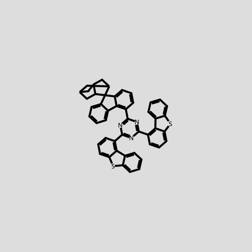 c1ccc2c(c1)-c1c(-c3nc(-c4cccc5sc6ccccc6c45)nc(-c4cccc5sc6ccccc6c45)n3)cccc1C21C2CC3CC(C2)C1C3